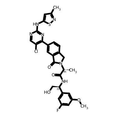 COc1cc(F)cc([C@@H](CO)NC(=O)[C@@H](C)N2Cc3ccc(-c4nc(Nc5cc(C)ns5)ncc4Cl)cc3C2=O)c1